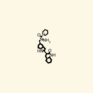 NN(Cc1ccc2[nH]c(-c3cc4ccccc4[nH]c3=O)cc2c1)C(=O)N1CCCCC1